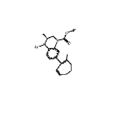 CC(=O)N1c2ccc(C3=C(C)CCCC=C3)cc2N(C(=O)OC(C)C)C[C@@H]1C